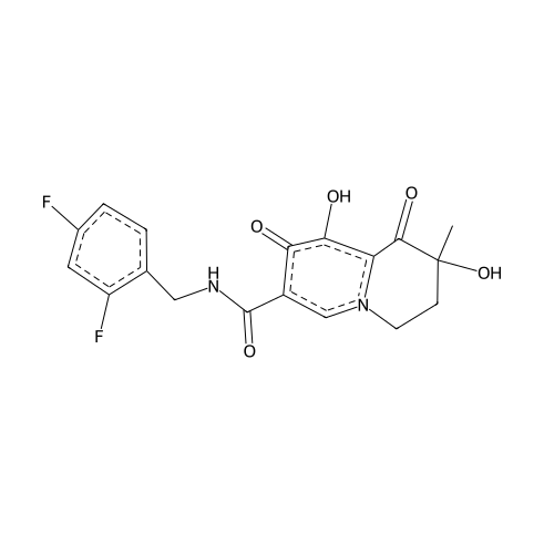 CC1(O)CCn2cc(C(=O)NCc3ccc(F)cc3F)c(=O)c(O)c2C1=O